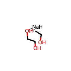 CCCCO.OCCO.[NaH]